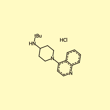 CC(C)(C)NC1CCN(c2ccnc3ccccc23)CC1.Cl